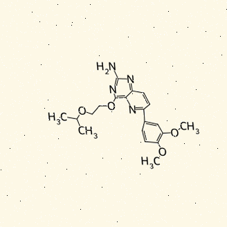 COc1ccc(-c2ccc3nc(N)nc(OCCOC(C)C)c3n2)cc1OC